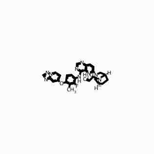 C=CC(=O)N1C[C@@H]2CC[C@H]1CN(c1ccc3ncnc(Nc4ccc(Oc5ccn6ncnc6c5)c(C)c4F)c3n1)C2